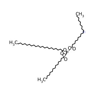 CCCCCCCC/C=C\CCCCCCCC(=O)OC[C@H](COC(=O)CCCCCCCCCCCCC)OC(=O)CCCCCCCCCCCCCCCCCCCCC